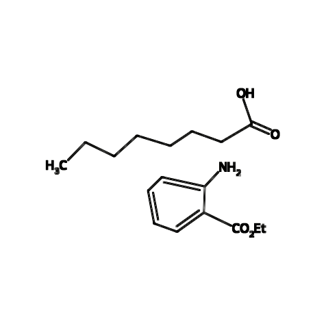 CCCCCCCC(=O)O.CCOC(=O)c1ccccc1N